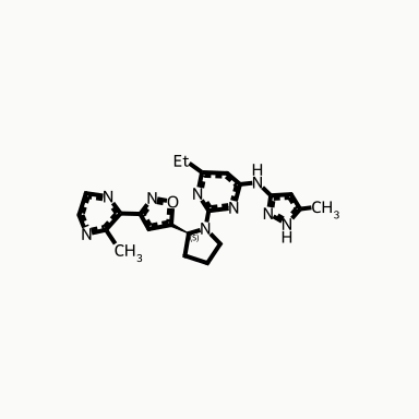 CCc1cc(Nc2cc(C)[nH]n2)nc(N2CCC[C@H]2c2cc(-c3nccnc3C)no2)n1